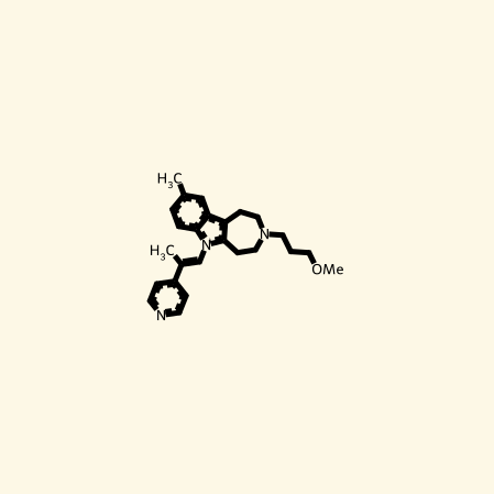 COCCCN1CCc2c(n(/C=C(\C)c3ccncc3)c3ccc(C)cc23)CC1